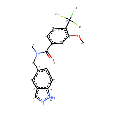 COc1cc(C(=O)N(C)Cc2ccc3[nH]ncc3c2)ccc1C(F)(F)F